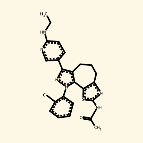 CCNc1ccc(-c2nn(-c3ccccc3Cl)c3c2CCCc2nc(NC(C)=O)sc2-3)cn1